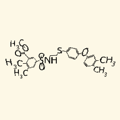 COC(=O)c1cc(S(=O)(=O)NCCSc2ccc(Oc3ccc(C)c(C)c3)cc2)cc(C)c1C